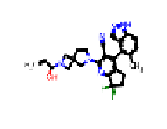 C=CC(O)N1CC2(CCN(c3nc4c(c(-c5c(C)ccc6[nH]ncc56)c3C#N)CCC4(F)F)C2)C1